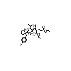 CCOC(=O)CC[C@@H](NC(=O)[C@@H](NC(=O)C1(Cc2ccc(F)cc2)CCCC1)C(C)C)C(=O)OCC